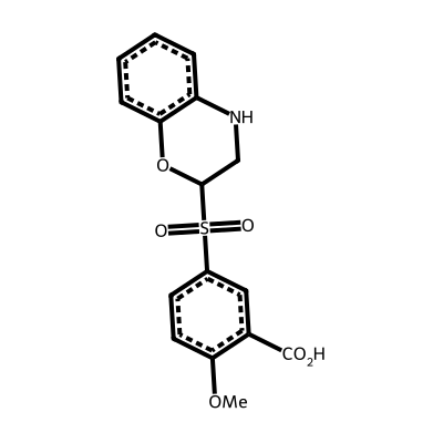 COc1ccc(S(=O)(=O)C2CNc3ccccc3O2)cc1C(=O)O